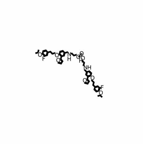 CC(C)Oc1ccc(CCCOc2ccc(CNCCCO[PH](=O)OCCCNCc3ccc(OCCCc4ccc(OC(C)C)c(F)c4)c(-c4ccco4)c3)cc2-c2ccco2)cc1F